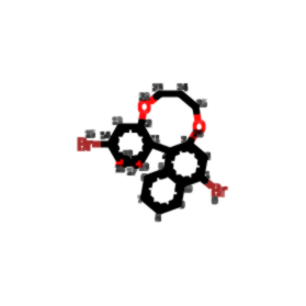 Brc1cc2c(c3ccccc13)-c1c(cc(Br)c3ccccc13)OCCCO2